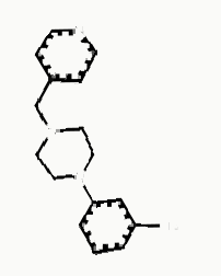 CC(C)(C)c1cccc(N2CCN(Cc3ccncc3)CC2)c1